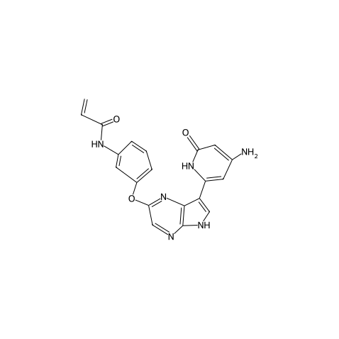 C=CC(=O)Nc1cccc(Oc2cnc3[nH]cc(-c4cc(N)cc(=O)[nH]4)c3n2)c1